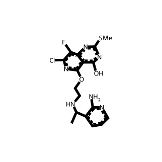 CSc1nc(O)c2c(OCCNC(C)c3cccnc3N)nc(Cl)c(F)c2n1